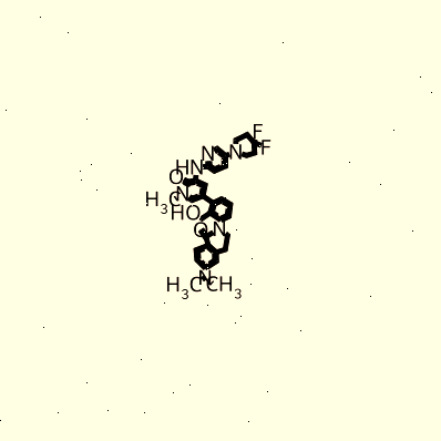 CN(C)c1ccc2c(c1)CCN(c1cccc(-c3cc(Nc4ccc(N5CCC(F)(F)CC5)cn4)c(=O)n(C)c3)c1CO)C2=O